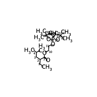 CCC(CC(C)C)C(=O)OCCOP(=O)(OC(C)(C)C)OC(C)(C)C